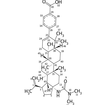 C=C(C)[C@@H]1CC[C@]2(NC(=O)N(C)C)CC[C@]3(C)[C@H](CC[C@@H]4[C@@]5(C)CC=C(c6ccc(C(=O)O)cc6)C(C)(C)[C@@H]5CC[C@]43C)[C@@H]12